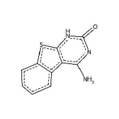 Nc1nc(=O)[nH]c2sc3ccccc3c12